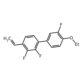 C=Cc1ccc(-c2ccc(OCC)c(F)c2)c(F)c1F